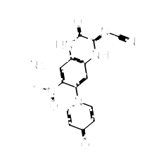 N#CN=c1[nH]c2cc(-n3ccc(=O)cc3)c([N+](=O)[O-])cc2[nH]c1=O.[Na]